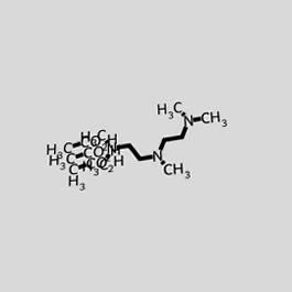 CC(=O)O.CC(=O)O.CC(=O)O.CN(C)CCN(C)CCN(C)C